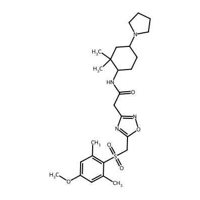 COc1cc(C)c(S(=O)(=O)Cc2nc(CC(=O)NC3CCC(N4CCCC4)CC3(C)C)no2)c(C)c1